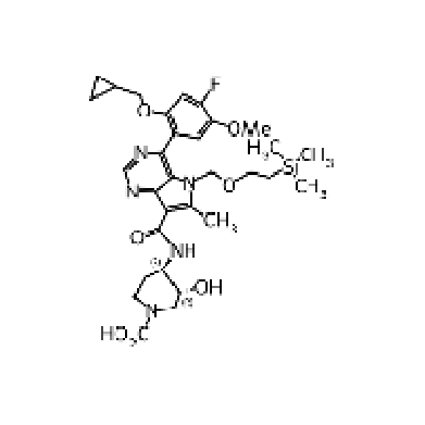 COc1cc(-c2ncnc3c(C(=O)N[C@@H]4CCN(C(=O)O)C[C@H]4O)c(C)n(COCC[Si](C)(C)C)c23)c(OCC2CC2)cc1F